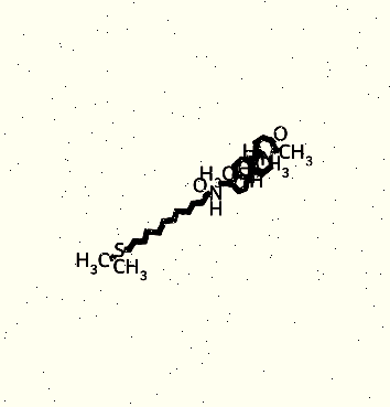 CC(C)SCCCCCCCCCCCC(=O)NCC1CC[C@H]2[C@@H]3CCN4C(C)C(=O)CC[C@]4(C)[C@@H]3CC[C@]12C